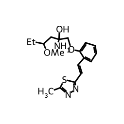 CCC(CC(N)(O)COc1ccccc1C=Cc1nnc(C)s1)OC